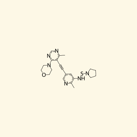 Cc1ncc(C#Cc2c(C)ncnc2N2CCOCC2)cc1NSN1CCCC1